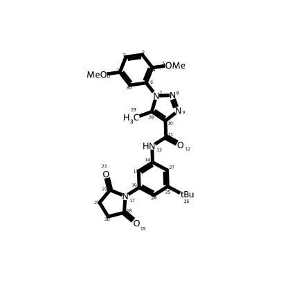 COc1ccc(OC)c(-n2nnc(C(=O)Nc3cc(N4C(=O)CCC4=O)cc(C(C)(C)C)c3)c2C)c1